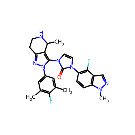 Cc1cc(-n2nc3c(c2-n2ccn(-c4ccc5c(cnn5C)c4F)c2=O)C(C)NCC3)cc(C)c1F